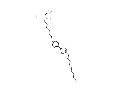 CCCCCCCCCCc1cnc(-c2ccc(OCCCCCC[Si](C)(C)C[Si](C)(C)C)cc2)nc1